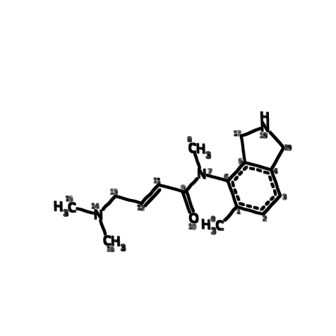 Cc1ccc2c(c1N(C)C(=O)/C=C/CN(C)C)CNC2